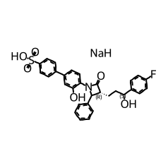 O=C1[C@H](CC[C@H](O)c2ccc(F)cc2)C(c2ccccc2)N1c1ccc(-c2ccc(S(=O)(=O)O)cc2)cc1O.[NaH]